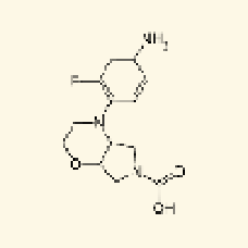 Nc1ccc(N2CCOC3CN(C(=O)O)CC32)c(F)c1